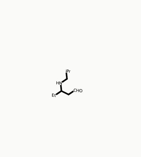 CCC(CC=O)NCC(C)C